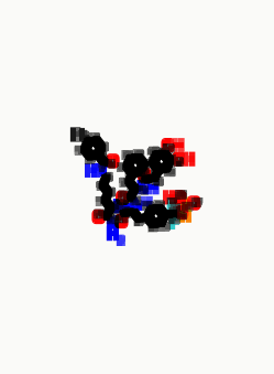 CCc1ccc(C(=O)NCCCCC(NC(=O)C(Cc2ccc(C(F)(F)O[PH](=O)O)cc2)NC(=O)C(Cc2ccccc2)NC(=O)Cc2ccc(O)c(O)c2)C(N)=O)cc1